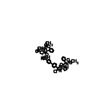 COC(=O)N[C@H](C(=O)N1CCC[C@H]1c1nc(Cl)c(-c2ccc(-c3ccc(-c4cnc([C@@H]5C[C@H]([S+](C)[O-])CN5C(=O)[C@H](NC(=O)OC)c5ccccc5)[nH]4)cc3)cc2)[nH]1)c1ccccc1